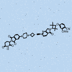 COc1cc(O[C@H]2C(C)(C)[C@H](N3Cc4nc(C#C[C@H]5C[C@H](N6CCN(c7ccc8c(c7)C(=O)N(C7CCC(=O)NC7=O)C8=O)CC6)C5)ccc4C3=O)C2(C)C)ccc1C#N